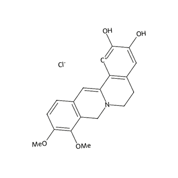 COc1ccc2c(c1OC)CN1CCC3=C([C+]=C(O)C(O)=C3)C1=C2.[Cl-]